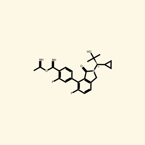 CC(=N)OC(=N)c1ccc(-c2c(F)ccc3c2C(=O)N([C@H](C2CC2)C(C)(C)O)C3)cc1F